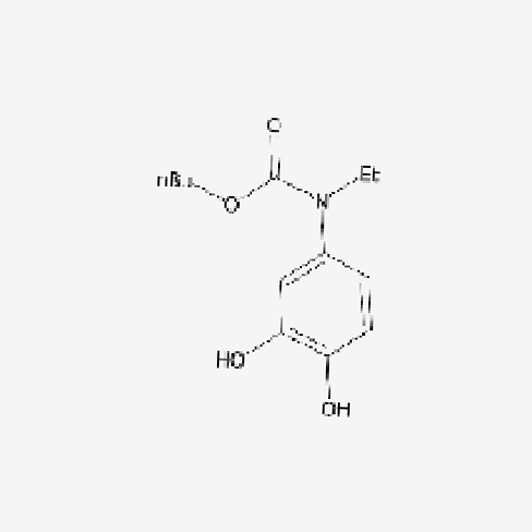 CCCCOC(=O)N(CC)c1ccc(O)c(O)c1